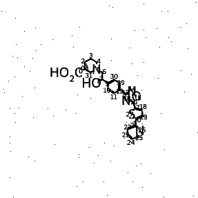 O=C(O)[C@H]1CCCN(CC(O)c2ccc(-c3noc(-c4ccc(-c5ccccn5)s4)n3)cc2)C1